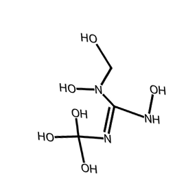 OCN(O)/C(=N\C(O)(O)O)NO